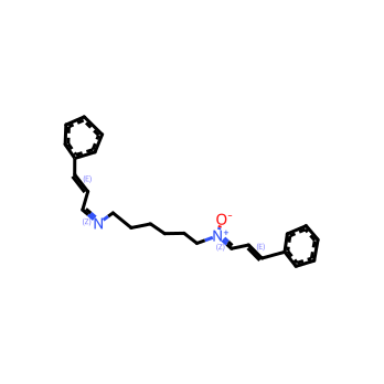 [O-]/[N+](=C\C=C\c1ccccc1)CCCCCC/N=C\C=C\c1ccccc1